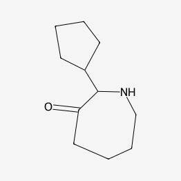 O=C1CCCCNC1C1CCCC1